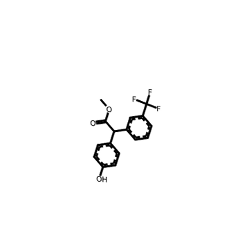 COC(=O)C(c1ccc(O)cc1)c1cccc(C(F)(F)F)c1